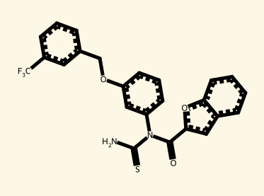 NC(=S)N(C(=O)c1cc2ccccc2o1)c1cccc(OCc2cccc(C(F)(F)F)c2)c1